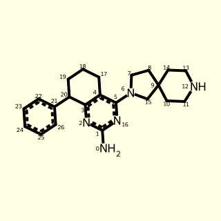 Nc1nc2c(c(N3CCC4(CCNCC4)C3)n1)CCCC2c1ccccc1